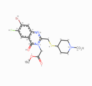 CC(C)(C)OC(=O)Cn1c(CSC2CCN(C(=O)O)CC2)nc2cc(Br)c(F)cc2c1=O